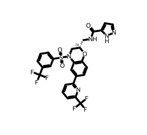 O=C(NC[C@H]1CN(S(=O)(=O)c2cccc(C(F)(F)F)c2)c2cc(-c3cccc(C(F)(F)F)n3)ccc2O1)c1ccn[nH]1